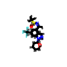 C/C(=N/[S@+]([O-])C(C)(C)C)c1cc(C(F)(F)F)cc2c1cnn2C1CCCCO1